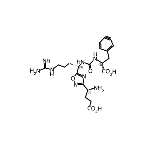 N=C(N)NCCC[C@H](NC(=O)N[C@@H](Cc1cc#ccc1)C(=O)O)c1nc([C@@H](N)CCC(=O)O)no1